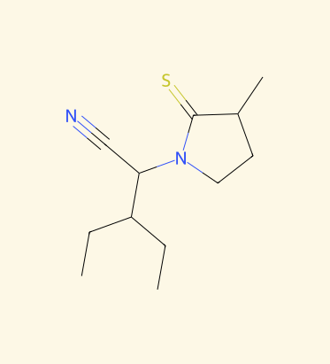 CCC(CC)C(C#N)N1CCC(C)C1=S